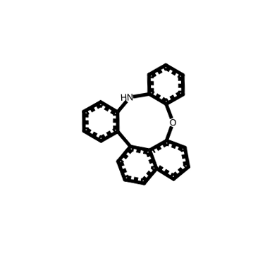 c1ccc2c(c1)Nc1ccccc1-c1cccc3cccc(c13)O2